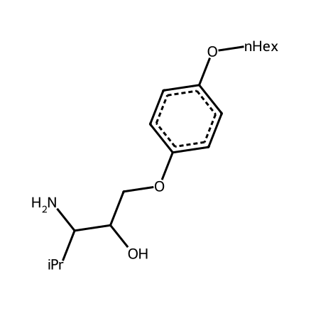 [CH2]CCCCCOc1ccc(OCC(O)C(N)C(C)C)cc1